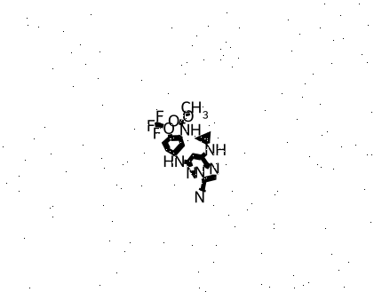 COC(=O)Nc1cc(Nc2cc(NC3CC3)c3ncc(C#N)n3n2)ccc1OC(F)(F)F